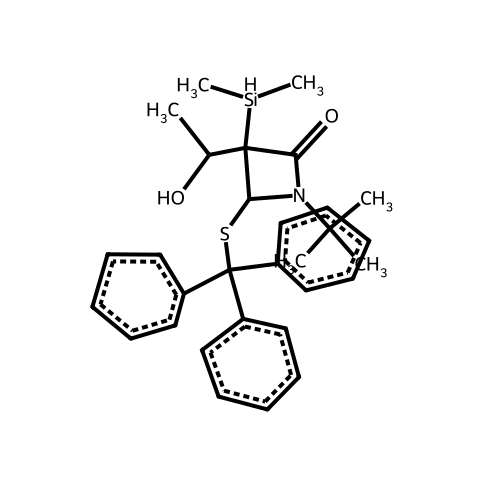 CC(O)C1([SiH](C)C)C(=O)N(C(C)(C)C)C1SC(c1ccccc1)(c1ccccc1)c1ccccc1